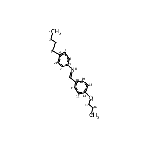 CCCCc1ccc(N=Cc2ccc(OCCC)cc2)cc1